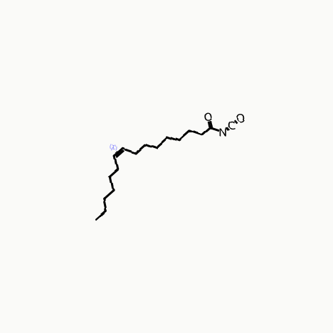 CCCCCC/C=C\CCCCCCCC(=O)N=C=O